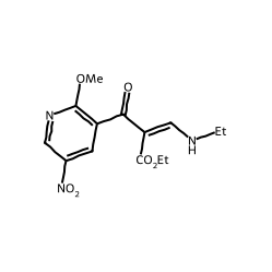 CCN/C=C(\C(=O)OCC)C(=O)c1cc([N+](=O)[O-])cnc1OC